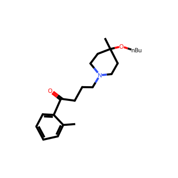 CCCCOC1(C)CCN(CCCC(=O)c2ccccc2C)CC1